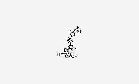 CCc1cc(-c2noc(-c3ccc(CN(CC)CC)c(C)c3)n2)cc(C)c1OC(NC(=O)CO)[C@H](C)O